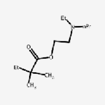 CCCN(CC)CCOC(=O)C(C)(C)CC